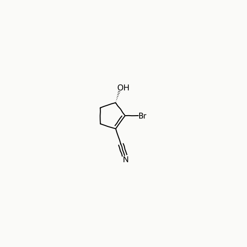 N#CC1=C(Br)[C@@H](O)CC1